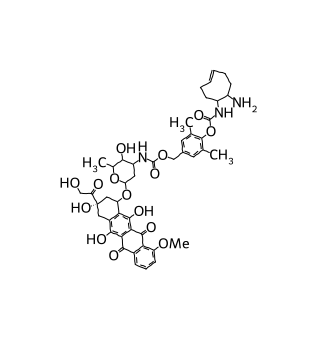 COc1cccc2c1C(=O)c1c(O)c3c(c(O)c1C2=O)C[C@@](O)(C(=O)CO)CC3OC1CC(NC(=O)OCc2cc(C)c(OC(=O)NC3CC/C=C/CCC3N)c(C)c2)C(O)C(C)O1